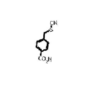 N#CSCc1ccc(C(=O)O)cc1